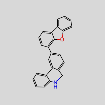 c1ccc2c(c1)NCc1ccc(-c3cccc4c3oc3ccccc34)cc1-2